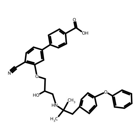 CC(C)(Cc1ccc(Oc2ccccc2)cc1)NCC(O)COc1cc(-c2ccc(C(=O)O)cc2)ccc1C#N